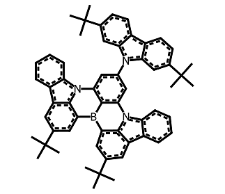 CC(C)(C)c1cc2c3c(c1)c1ccccc1n3-c1cc(-n3c4cc(C(C)(C)C)ccc4c4ccc(C(C)(C)C)cc43)cc3c1B2c1cc(C(C)(C)C)cc2c4ccccc4n-3c12